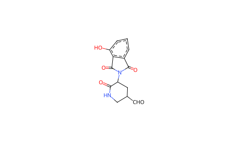 O=CC1CNC(=O)C(N2C(=O)c3cccc(O)c3C2=O)C1